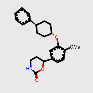 COc1ccc(C2CCNC(=O)O2)cc1O[C@H]1CC[C@H](c2ccccc2)CC1